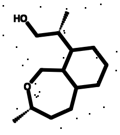 C[C@H]1CCC2CCCC([C@@H](C)CO)C2CO1